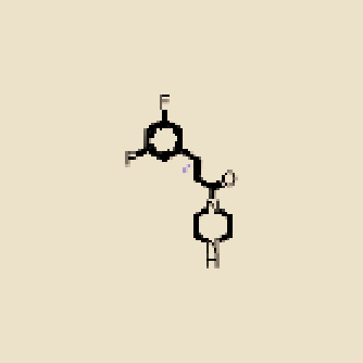 O=C(/C=C/c1cc(F)cc(F)c1)N1CCNCC1